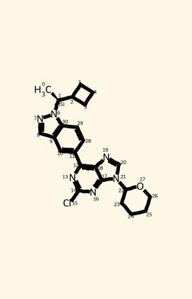 C[C@@H](C1CCC1)n1ncc2cc(-c3nc(Cl)nc4c3ncn4C3CCCCO3)ccc21